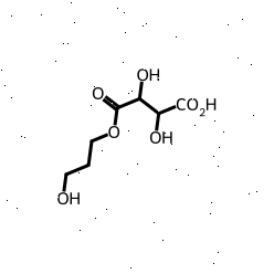 O=C(O)C(O)C(O)C(=O)OCCCO